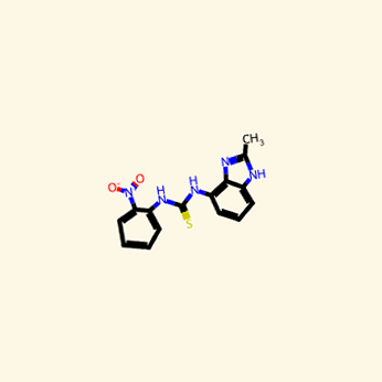 Cc1nc2c(NC(=S)Nc3ccccc3[N+](=O)[O-])cccc2[nH]1